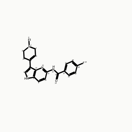 CCN1CC=C(c2c[nH]c3ccc(NC(=O)c4ccc(F)cc4)nc23)CC1